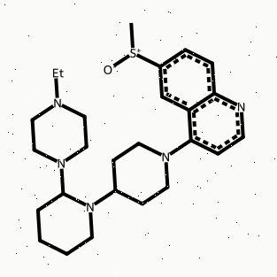 CCN1CCN(C2CCCCN2C2CCN(c3ccnc4ccc([S+](C)[O-])cc34)CC2)CC1